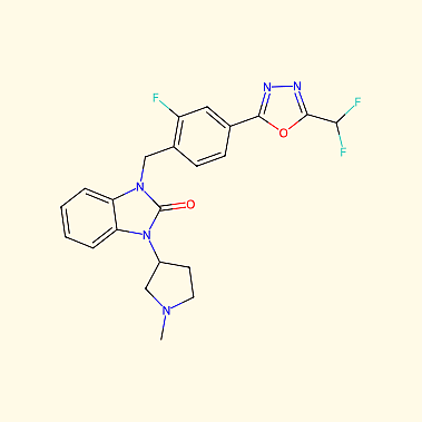 CN1CCC(n2c(=O)n(Cc3ccc(-c4nnc(C(F)F)o4)cc3F)c3ccccc32)C1